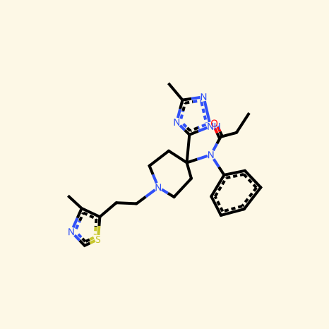 CCC(=O)N(c1ccccc1)C1(c2nc(C)n[nH]2)CCN(CCc2scnc2C)CC1